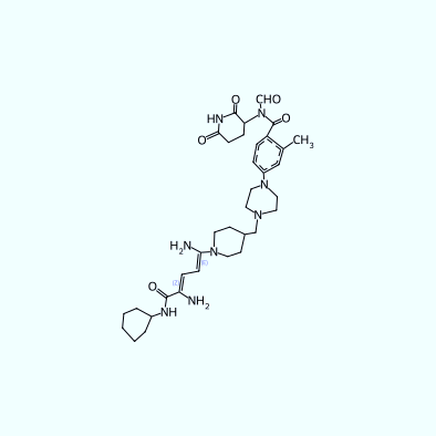 Cc1cc(N2CCN(CC3CCN(/C(N)=C/C=C(\N)C(=O)NC4CCCCC4)CC3)CC2)ccc1C(=O)N(C=O)C1CCC(=O)NC1=O